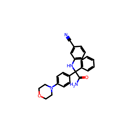 N#Cc1cccc(NC(C(N)=O)(c2ccccc2)c2ccc(N3CCOCC3)cc2)c1